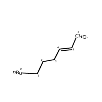 CCCCCCC/C=C/[C]=O